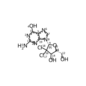 Nc1nc(O)c2ncn([C@@H]3O[C@H](CO)C(O)C3(Cl)Cl)c2n1